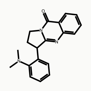 CN(C)c1ccccc1C1CCn2c1nc1ccccc1c2=O